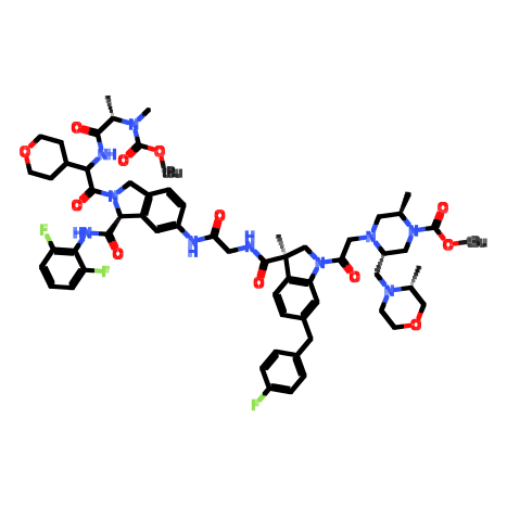 C[C@@H]1COCCN1C[C@H]1CN(C(=O)OC(C)(C)C)[C@H](C)CN1CC(=O)N1C[C@](C)(C(=O)NCC(=O)Nc2ccc3c(c2)[C@@H](C(=O)Nc2c(F)cccc2F)N(C(=O)C(NC(=O)[C@H](C)N(C)C(=O)OC(C)(C)C)C2CCOCC2)C3)c2ccc(Cc3ccc(F)cc3)cc21